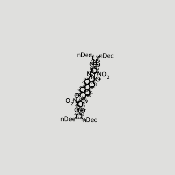 CCCCCCCCCCCCN(CCCCCCCCCCCC)S(=O)(=O)c1cc([N+](=O)[O-])c2c(c1)nc1c3ccc4c5ccc6c(=O)n7c(nc8cc(S(=O)(=O)N(CCCCCCCCCCCC)CCCCCCCCCCCC)cc([N+](=O)[O-])c87)c7ccc(c8ccc(c(=O)n12)c3c84)c5c67